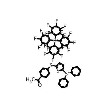 CC(=O)c1ccc(Sc2ccc([S+](c3ccccc3)c3ccccc3)s2)cc1.Fc1c(F)c(F)c([B-](c2c(F)c(F)c(F)c(F)c2F)(c2c(F)c(F)c(F)c(F)c2F)c2c(F)c(F)c(F)c(F)c2F)c(F)c1F